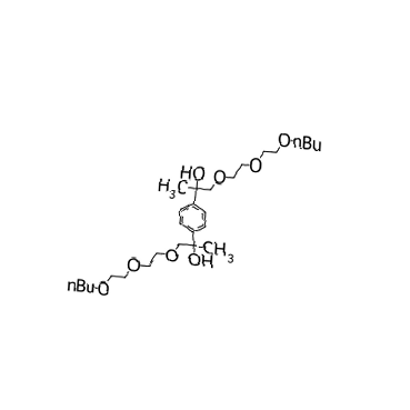 CCCCOCCOCCOCC(C)(O)c1ccc(C(C)(O)COCCOCCOCCCC)cc1